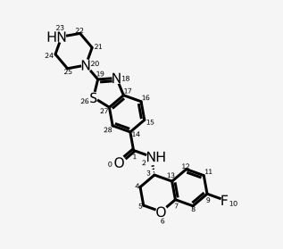 O=C(N[C@H]1CCOc2cc(F)ccc21)c1ccc2nc(N3CCNCC3)sc2c1